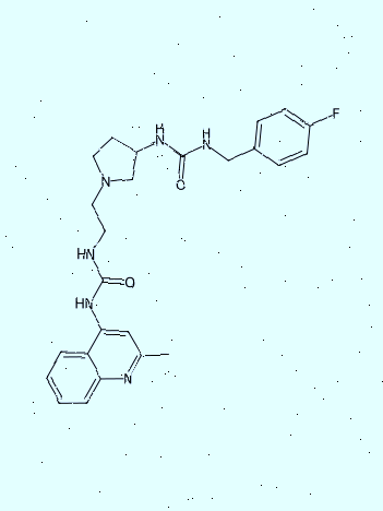 Cc1cc(NC(=O)NCCN2CCC(NC(=O)NCc3ccc(F)cc3)C2)c2ccccc2n1